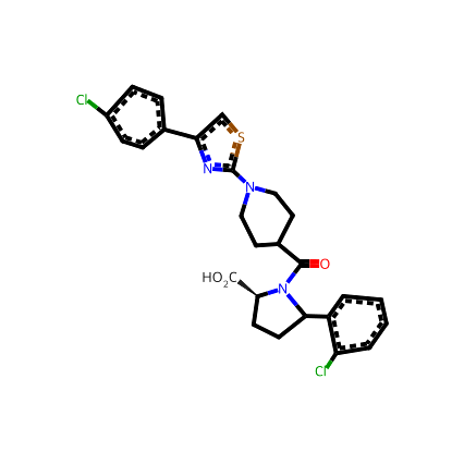 O=C(O)[C@@H]1CCC(c2ccccc2Cl)N1C(=O)C1CCN(c2nc(-c3ccc(Cl)cc3)cs2)CC1